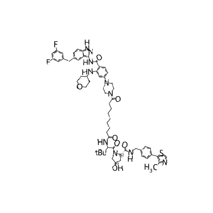 Cc1ncsc1-c1ccc(CNC(=O)[C@@H]2C[C@@H](O)CN2C(=O)C(NC(=O)CCCCCCCC(=O)N2CCN(c3ccc(C(=O)Nc4n[nH]c5ccc(Cc6cc(F)cc(F)c6)cc45)c(NC4CCOCC4)c3)CC2)C(C)(C)C)cc1